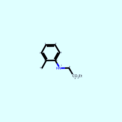 [CH2]c1ccccc1NCC(=O)OCC